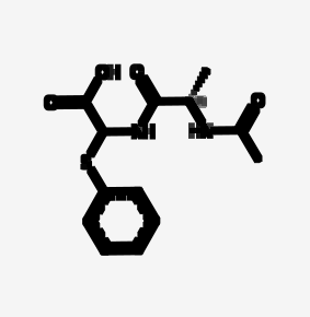 CC(=O)N[C@@H](C)C(=O)NC(Sc1ccccc1)C(=O)O